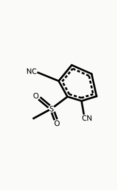 CS(=O)(=O)c1c(C#N)cccc1C#N